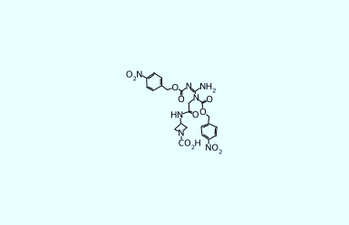 NC(=NC(=O)OCc1ccc([N+](=O)[O-])cc1)N(CC(=O)NC1CN(C(=O)O)C1)C(=O)OCc1ccc([N+](=O)[O-])cc1